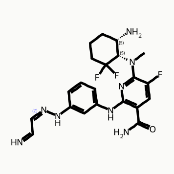 CN(c1nc(Nc2cccc(N/N=C\C=N)c2)c(C(N)=O)cc1F)[C@H]1[C@@H](N)CCCC1(F)F